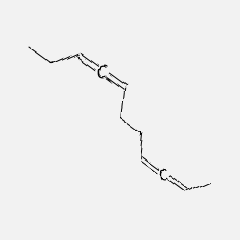 CC=C=CCCC=C=CCC